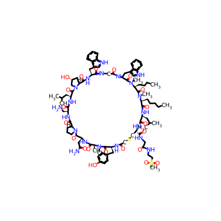 CCCCC[C@H]1C(=O)N[C@@H](CC(C)C)C(=O)N[C@H](C(=O)NCC(=O)NCCS(C)(=O)=O)CSCC(=O)N[C@@H](Cc2ccc(O)cc2)C(=O)N(C)[C@@H](C)C(=O)N[C@@H](CC(N)=O)C(=O)N2CCC[C@H]2C(=O)N[C@@H](CN)C(=O)N[C@@H](CC(C)C)C(=O)N2C[C@H](O)C[C@H]2C(=O)N[C@@H](Cc2c[nH]c3ccccc23)C(=O)NCC(=O)NC(Cc2c[nH]c3ccccc23)C(=O)N(C)[C@@H](CCCC)C(=O)N1C